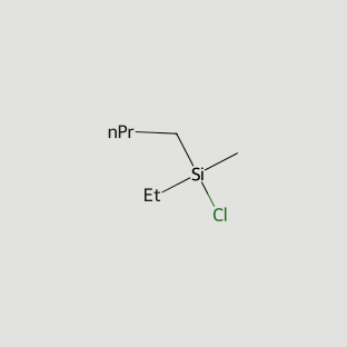 CCCC[Si](C)(Cl)CC